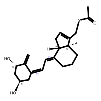 C=C1/C(=C\C=C2/CCC[C@]3(C)C(CSC(C)=O)=CC[C@@H]23)C[C@@H](O)C[C@@H]1O